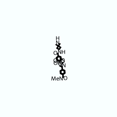 CNC(=O)c1ccc(-c2cn3c(n2)sc2cc(C(=O)NC4CC5(CNC5)C4)ccc23)cc1.O=CO